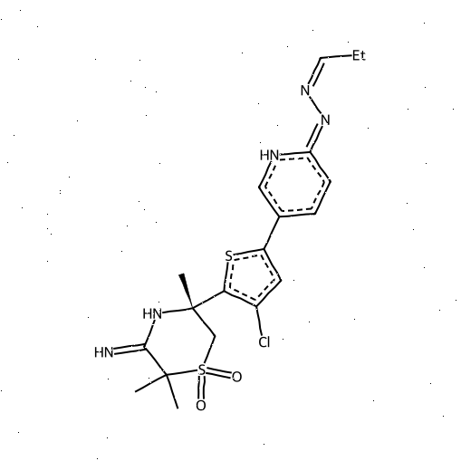 CC/C=N\N=c1\ccc(-c2cc(Cl)c([C@]3(C)CS(=O)(=O)C(C)(C)C(=N)N3)s2)c[nH]1